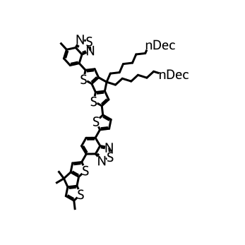 CCCCCCCCCCCCCCCCC1(CCCCCCCCCCCCCCCC)c2cc(-c3ccc(-c4ccc(-c5cc6c(s5)-c5sc(C)cc5C6(C)C)c5nsnc45)s3)sc2-c2sc(-c3ccc(C)c4nsnc34)cc21